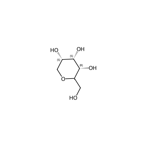 OC[C]1OC[C@H](O)[C@H](O)[C@@H]1O